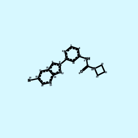 O=C(Nc1ccnc(-n2cc3cc(Br)cnc3n2)c1)N1CCC1